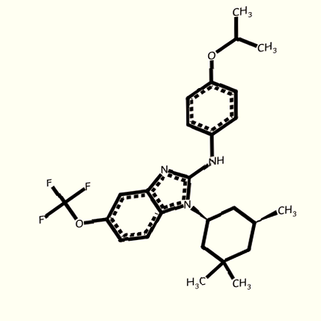 CC(C)Oc1ccc(Nc2nc3cc(OC(F)(F)F)ccc3n2[C@H]2C[C@@H](C)CC(C)(C)C2)cc1